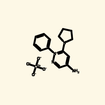 Nc1cn[n+](-c2ccccc2)c(N2CCCC2)c1.[O-][Cl+3]([O-])([O-])[O-]